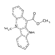 COC(=O)c1c2ccccc2[n+](C)c2c1[nH]c1ccccc12